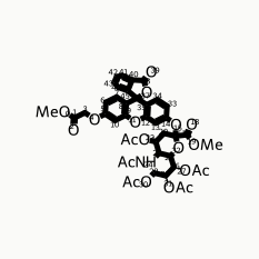 COC(=O)COc1ccc2c(c1)Oc1cc(OC3(C(=O)OC)CC(OC(C)=O)C(NC(C)=O)C([C@H](OC(C)=O)[C@@H](COC(C)=O)OC(C)=O)O3)ccc1C21OC(=O)c2ccccc21